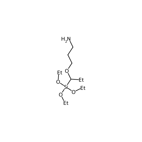 CCO[Si](OCC)(OCC)C(CC)OCCCN